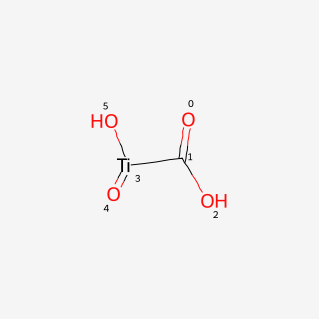 O=[C](O)[Ti](=[O])[OH]